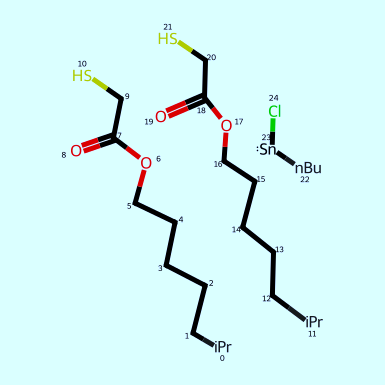 CC(C)CCCCCOC(=O)CS.CC(C)CCCCCOC(=O)CS.CCC[CH2][Sn][Cl]